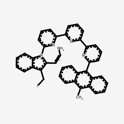 Cc1c2ccccc2c(-c2cccc(-c3cccc(-c4cccc(-n5c(/C=C\N)c(CI)c6ccccc65)n4)n3)n2)c2ccccc12